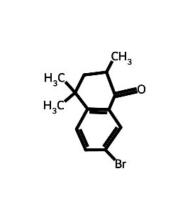 CC1CC(C)(C)c2ccc(Br)cc2C1=O